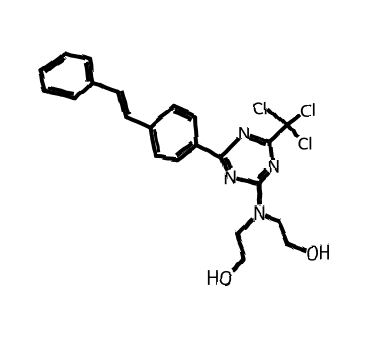 OCCN(CCO)c1nc(-c2ccc(/C=C/c3ccccc3)cc2)nc(C(Cl)(Cl)Cl)n1